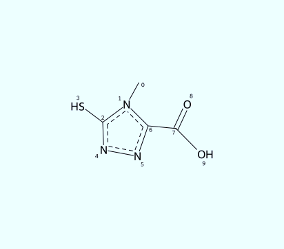 Cn1c(S)nnc1C(=O)O